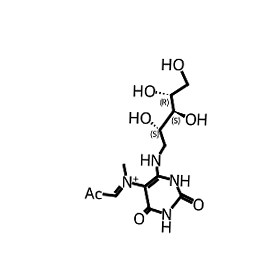 CC(=O)C=[N+](C)c1c(NC[C@H](O)[C@H](O)[C@H](O)CO)[nH]c(=O)[nH]c1=O